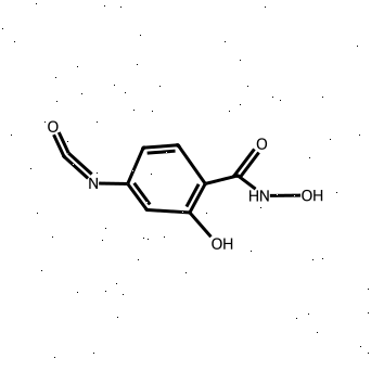 O=C=Nc1ccc(C(=O)NO)c(O)c1